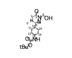 C[C@@H]1CC(=O)N(CO)N=C1c1ccc(NC(=O)OC(C)(C)C)cc1